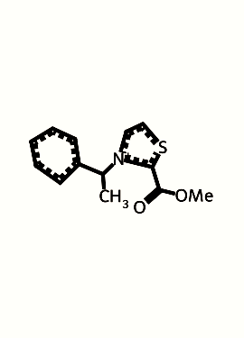 COC(=O)c1scc[n+]1C(C)c1ccccc1